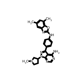 Cc1cc(C)c2oc(Nc3ccc(-c4nn(C5CCN(C)C5)c5ncnc(N)c45)cc3)nc2c1